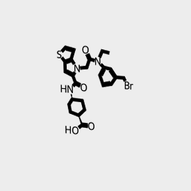 CCN(C(=O)Cn1c(C(=O)N[C@H]2CC[C@H](C(=O)O)CC2)cc2sccc21)c1cccc(CBr)c1